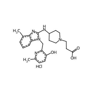 Cc1ccc(O)c(Cn2c(NC3CCN(CCC(=O)O)CC3)nc3c(C)cccc32)n1.Cl